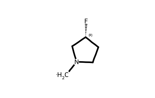 [CH2]N1CC[C@@H](F)C1